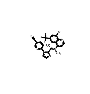 C[C@@H](c1ncnn1-c1ccc(C#N)cn1)N(C)c1ccnc2c(Br)cc(C(F)(F)F)cc12